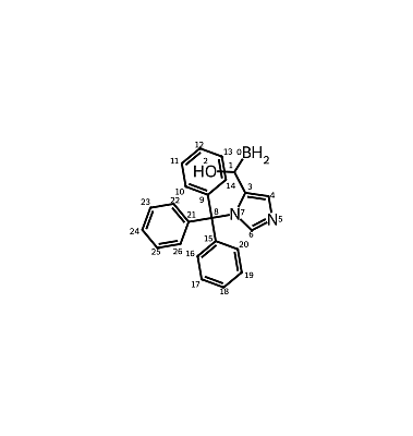 BC(O)c1cncn1C(c1ccccc1)(c1ccccc1)c1ccccc1